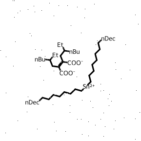 CCCCC(CC)C/C(C(=O)[O-])=C(\CC(CC)CCCC)C(=O)[O-].CCCCCCCCCCCCCCCCC[CH2][Sn+2][CH2]CCCCCCCCCCCCCCCCC